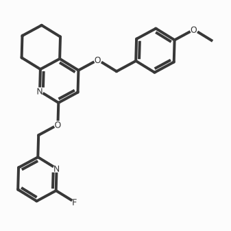 COc1ccc(COc2cc(OCc3cccc(F)n3)nc3c2CCCC3)cc1